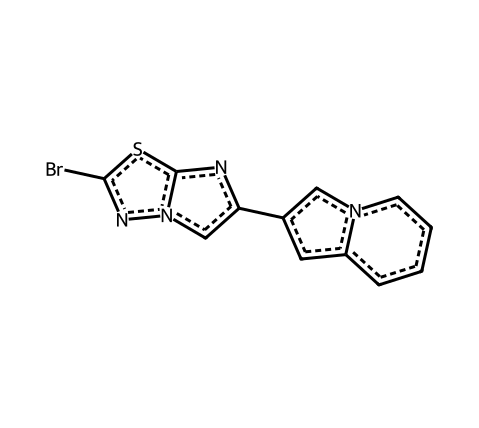 Brc1nn2cc(-c3cc4ccccn4c3)nc2s1